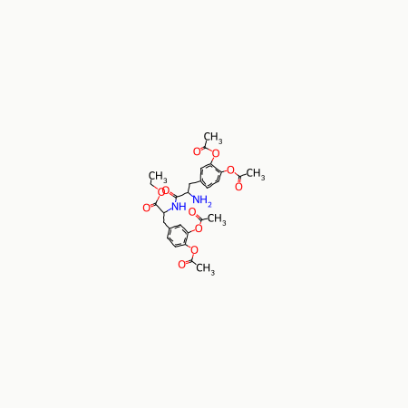 CCOC(=O)C(Cc1ccc(OC(C)=O)c(OC(C)=O)c1)NC(=O)C(N)Cc1ccc(OC(C)=O)c(OC(C)=O)c1